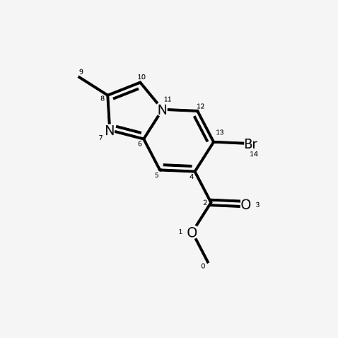 COC(=O)c1cc2nc(C)cn2cc1Br